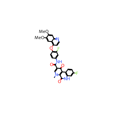 COc1cc2nccc(Oc3ccc(NC(=O)c4cn(C)c5c(=O)[nH]c6cc(F)ccc6c5c4=O)cc3F)c2cc1OC